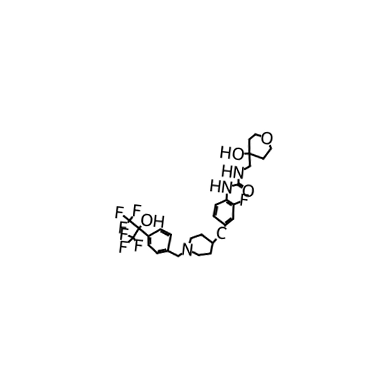 O=C(NCC1(O)CCOCC1)Nc1ccc(CC2CCN(Cc3ccc(C(O)(C(F)(F)F)C(F)(F)F)cc3)CC2)cc1F